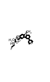 CC(C(=O)NCCF)N(C)C(=O)c1ccc2c(c1)c1c(n2C)CCC(C2CCOCC2)C1